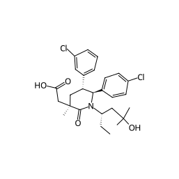 CC[C@@H](CC(C)(C)O)N1C(=O)[C@@](C)(CC(=O)O)C[C@H](c2cccc(Cl)c2)[C@H]1c1ccc(Cl)cc1